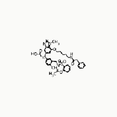 Cc1ccc([C@H](CC(=O)O)c2cc(OCCCCCNC(=O)Cc3ccccc3)c3c(c2)nnn3C)cc1CN1C[C@@H](C)Oc2ccccc2S1(=O)=O